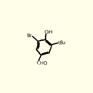 CC(C)(C)c1cc(C=O)cc(Br)c1O